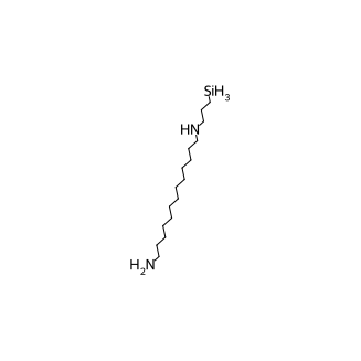 NCCCCCCCCCCCCCNCCC[SiH3]